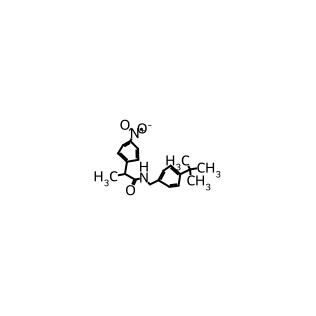 CC(C(=O)NCc1ccc(C(C)(C)C)cc1)c1ccc([N+](=O)[O-])cc1